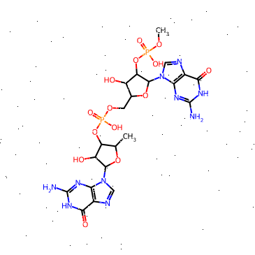 COP(=O)(O)OC1C(O)C(COP(=O)(O)OC2C(C)OC(n3cnc4c(=O)[nH]c(N)nc43)C2O)OC1n1cnc2c(=O)[nH]c(N)nc21